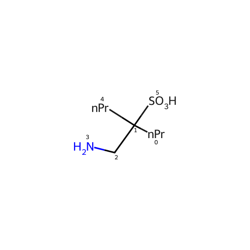 CCCC(CN)(CCC)S(=O)(=O)O